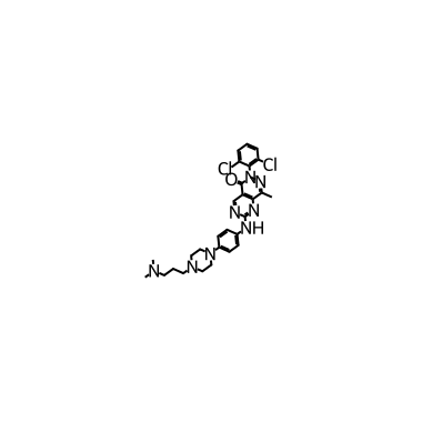 Cc1nn(-c2c(Cl)cccc2Cl)c(=O)c2cnc(Nc3ccc(N4CCN(CCCN(C)C)CC4)cc3)nc12